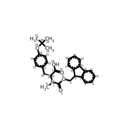 CN(C(=O)OCC1c2ccccc2-c2ccccc21)[C@@H](Cc1ccc(OC(C)(C)C)cc1)C(=O)O